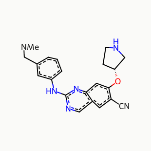 CNCc1cccc(Nc2ncc3cc(C#N)c(O[C@@H]4CCNC4)cc3n2)c1